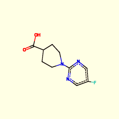 O=C(O)C1CCN(c2ncc(F)cn2)CC1